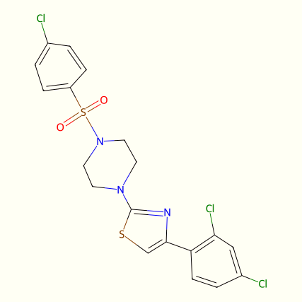 O=S(=O)(c1ccc(Cl)cc1)N1CCN(c2nc(-c3ccc(Cl)cc3Cl)cs2)CC1